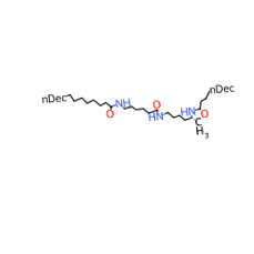 CCCCCCCCCCCCCCCCCC(=O)NCCCCCC(=O)NCCCC[C@@H](C)NC(=O)CCCCCCCCCCCCC